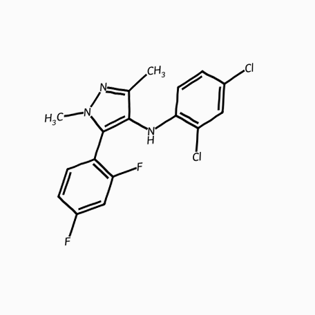 Cc1nn(C)c(-c2ccc(F)cc2F)c1Nc1ccc(Cl)cc1Cl